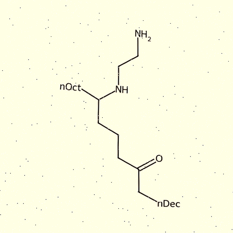 CCCCCCCCCCCC(=O)CCCC(CCCCCCCC)NCCN